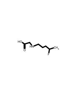 CC(F)CCCNCC(=O)O